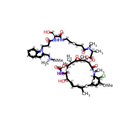 CNN(C)Cc1cc2ccccc2n1CCC(=O)N[C@@H](CO)C(=O)NCCCCCC(=O)N(C)[C@@H](C)C(=O)O[C@H]1CC(=O)N(C)c2cc(cc(OC)c2Cl)C/C(C)=C/C=C/[C@@H](O)[C@@]2(O)C[C@H](OC(=O)N2)[C@@H](C)C2O[C@]21C